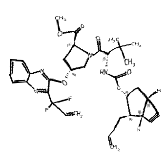 C=CCC[C@@H]1[C@H]2C#C[C@H]2C[C@H]1OC(=O)N[C@H](C(=O)N1C[C@H](Oc2nc3ccccc3nc2C(F)(F)C=C)C[C@H]1C(=O)OC)C(C)(C)C